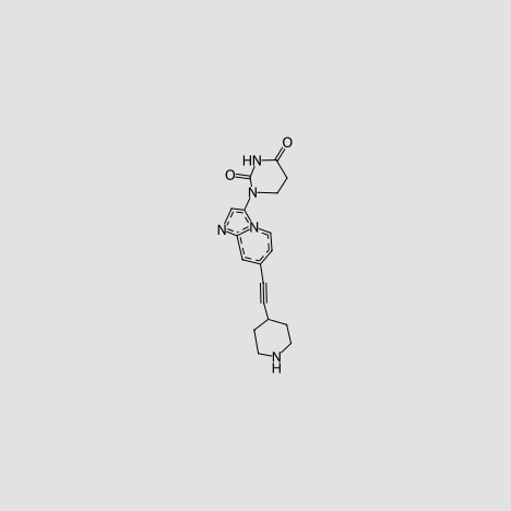 O=C1CCN(c2cnc3cc(C#CC4CCNCC4)ccn23)C(=O)N1